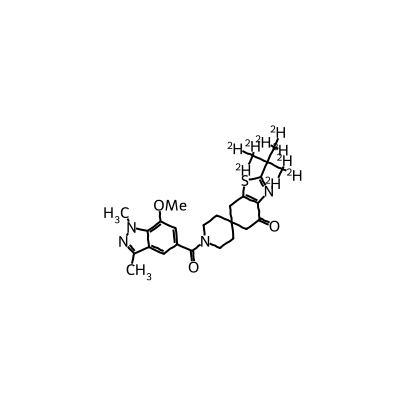 [2H]C([2H])([2H])C(c1nc2c(s1)CC1(CCN(C(=O)c3cc(OC)c4c(c3)c(C)nn4C)CC1)CC2=O)(C([2H])([2H])[2H])C([2H])([2H])[2H]